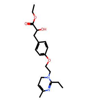 CCOC(=O)C(O)Cc1ccc(OCCN2CC=C(C)N=C2CC)cc1